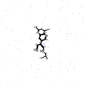 CC1CC(Cl)=Nc2cc(/C(C=N)=C/NCC(F)F)cnc21